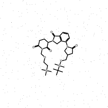 CC(C)(C)[Si](C)(C)OCC1CC(=O)N(c2cccc3c2CN(C2CCC(=O)N(COCC[Si](C)(C)C)C2=O)C3=O)C1